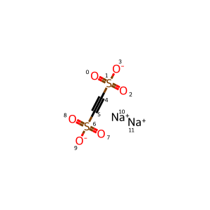 O=S(=O)([O-])C#CS(=O)(=O)[O-].[Na+].[Na+]